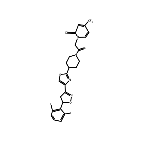 O=C(Cn1ccc(C(F)(F)F)cc1=O)N1CCC(c2nc(C3=NOC(c4c(F)cccc4F)C3)cs2)CC1